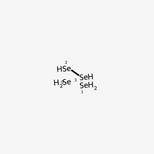 [SeH2].[SeH2].[SeH][SeH]